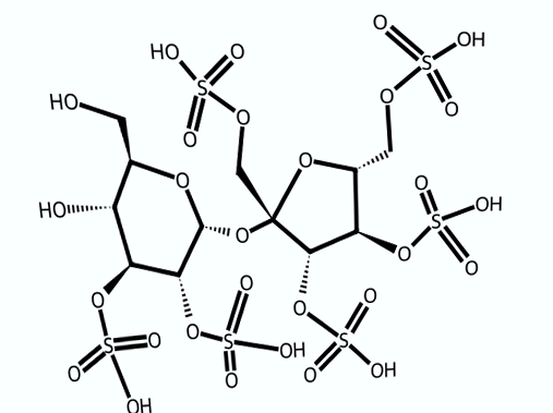 O=S(=O)(O)OC[C@H]1O[C@@](COS(=O)(=O)O)(O[C@H]2O[C@H](CO)[C@@H](O)[C@H](OS(=O)(=O)O)[C@H]2OS(=O)(=O)O)[C@@H](OS(=O)(=O)O)[C@@H]1OS(=O)(=O)O